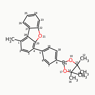 Cc1ccc(-c2ccc(B3OC(C)(C)C(C)(C)O3)cc2)c2oc3ccccc3c12